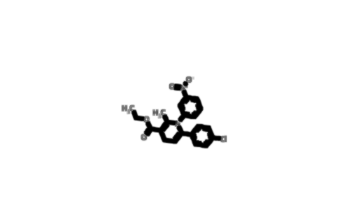 CCOC(=O)C1=C(C)N(c2cccc([N+](=O)[O-])c2)C(c2ccc(Cl)cc2)=CC1